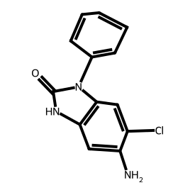 Nc1cc2[nH]c(=O)n(-c3ccccc3)c2cc1Cl